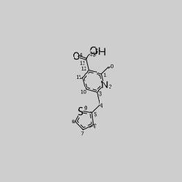 Cc1nc(Cc2cccs2)ccc1C(=O)O